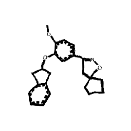 COc1ccc(C2=NOC3(CCCC3)C2)cc1OC1Cc2ccccc2C1